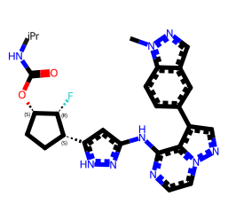 CC(C)NC(=O)O[C@H]1CC[C@@H](c2cc(Nc3nccn4ncc(-c5ccc6c(cnn6C)c5)c34)n[nH]2)[C@H]1F